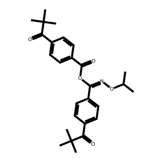 CC(C)ON=C(OC(=O)c1ccc(C(=O)C(C)(C)C)cc1)c1ccc(C(=O)C(C)(C)C)cc1